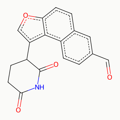 O=Cc1ccc2c(ccc3occ(C4CCC(=O)NC4=O)c32)c1